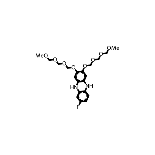 COCOCOCOc1cc2c(cc1OCOCOCOC)Nc1cc(F)ccc1N2